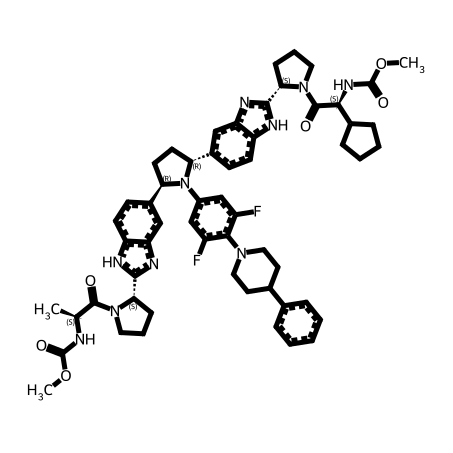 COC(=O)N[C@@H](C)C(=O)N1CCC[C@H]1c1nc2cc([C@H]3CC[C@H](c4ccc5[nH]c([C@@H]6CCCN6C(=O)[C@@H](NC(=O)OC)C6CCCC6)nc5c4)N3c3cc(F)c(N4CCC(c5ccccc5)CC4)c(F)c3)ccc2[nH]1